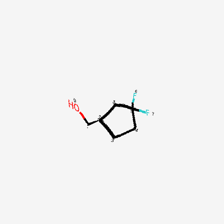 OC[C@@H]1CCC(F)(F)C1